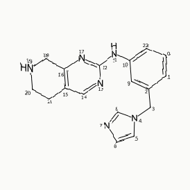 c1cc(Cn2ccnc2)cc(Nc2ncc3c(n2)CNCC3)c1